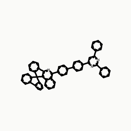 c1ccc(-c2cc(-c3ccc(-c4ccc(-c5nc6c(c7ccccc57)C5(c7ccccc7-c7ccccc75)c5ccccc5-6)cc4)cc3)nc(-c3ccccc3)n2)cc1